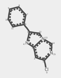 Clc1cc2nc(-c3ccccc3)cn2cn1